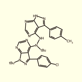 Cc1ccc(-c2n[nH]c3ncnc(NN(c4ncnc5c4c(-c4ccc(Cl)cc4)nn5C(C)(C)C)C(C)(C)C)c23)cc1